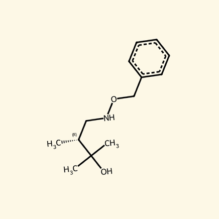 C[C@H](CNOCc1ccccc1)C(C)(C)O